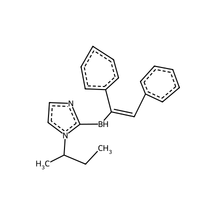 CCC(C)n1ccnc1BC(=Cc1ccccc1)c1ccccc1